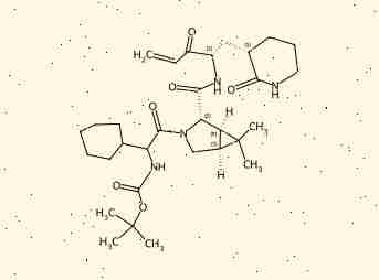 C=CC(=O)[C@H](C[C@@H]1CCCNC1=O)NC(=O)[C@@H]1[C@@H]2[C@H](CN1C(=O)C(NC(=O)OC(C)(C)C)C1CCCCC1)C2(C)C